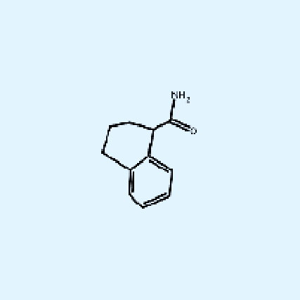 NC(=O)C1[C]CCc2ccccc21